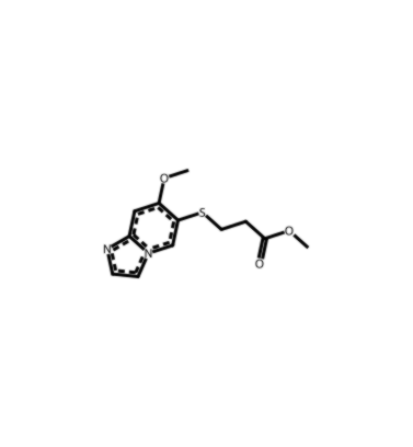 COC(=O)CCSc1cn2ccnc2cc1OC